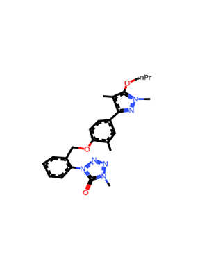 CCCOc1c(C)c(-c2ccc(OCc3ccccc3-n3nnn(C)c3=O)c(C)c2)nn1C